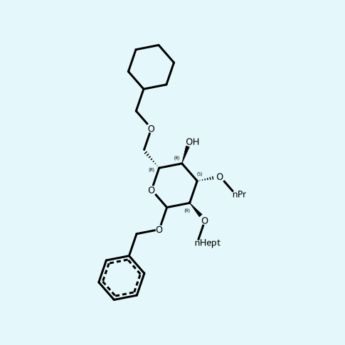 CCCCCCCO[C@H]1C(OCc2ccccc2)O[C@H](COCC2CCCCC2)[C@@H](O)[C@@H]1OCCC